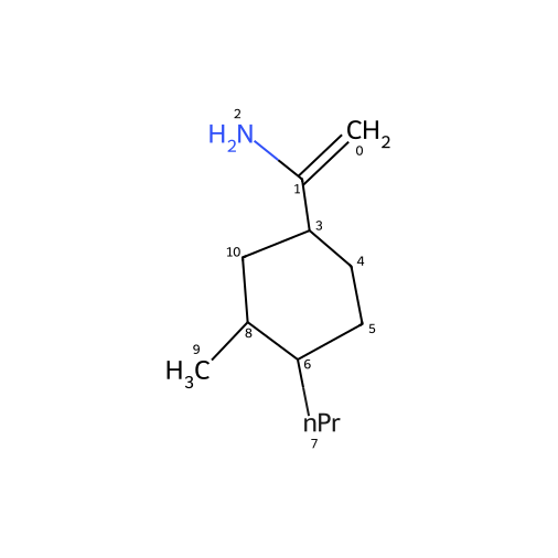 C=C(N)C1CCC(CCC)C(C)C1